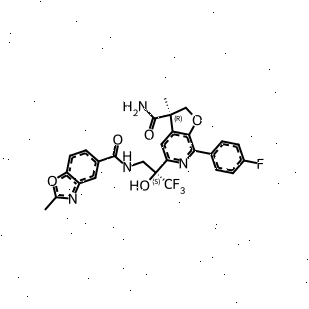 Cc1nc2cc(C(=O)NC[C@](O)(c3cc4c(c(-c5ccc(F)cc5)n3)OC[C@]4(C)C(N)=O)C(F)(F)F)ccc2o1